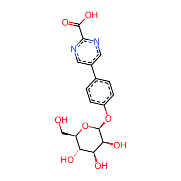 O=C(O)c1ncc(-c2ccc(O[C@@H]3O[C@H](CO)[C@@H](O)[C@H](O)[C@@H]3O)cc2)cn1